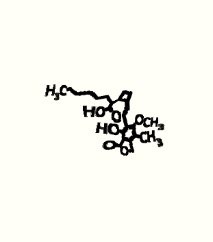 CCCCCCC(C(=O)O)[C@H]1CCC1=CCc1c(O)c2c(c(C)c1OC)COC2=O